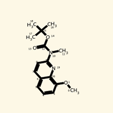 COc1cccc2ccc(N(C)C(=O)OC(C)(C)C)nc12